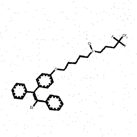 CC/C(=C(\c1ccccc1)c1ccc(OCCCCC[S+]([O-])CCCC(F)(F)C(F)(F)F)cc1)c1ccccc1